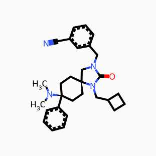 CN(C)[C@]1(c2ccccc2)CC[C@@]2(CC1)CN(Cc1cccc(C#N)c1)C(=O)N2CC1CCC1